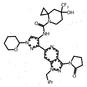 CC(C)Cn1nc(N2CCCC2=O)c2cnc(-c3nn(C4CCCCO4)cc3NC(=O)N3CCC(O)(C(F)(F)F)CC34CC4)cc21